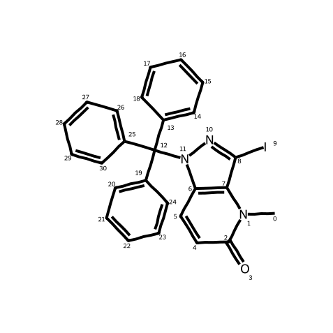 Cn1c(=O)ccc2c1c(I)nn2C(c1ccccc1)(c1ccccc1)c1ccccc1